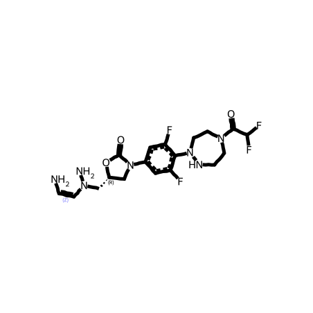 N/C=C\N(N)C[C@H]1CN(c2cc(F)c(N3CCN(C(=O)C(F)F)CCN3)c(F)c2)C(=O)O1